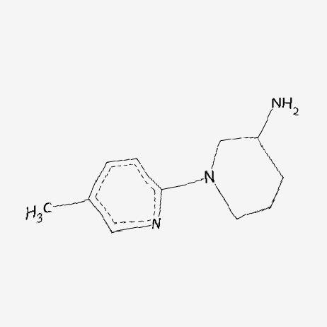 Cc1ccc(N2CCCC(N)C2)nc1